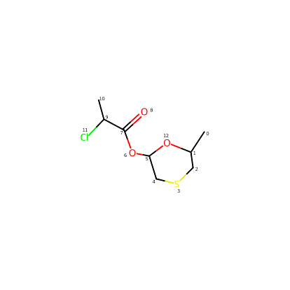 CC1CSCC(OC(=O)C(C)Cl)O1